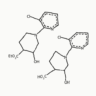 CCOC(=O)C1CCN(c2ncccc2Cl)CC1O.O=C(O)C1CCN(c2ncccc2Cl)CC1O